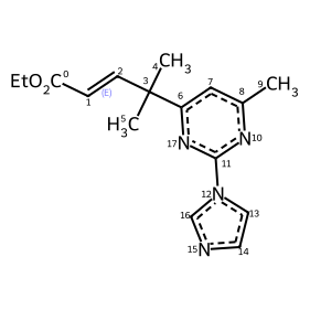 CCOC(=O)/C=C/C(C)(C)c1cc(C)nc(-n2ccnc2)n1